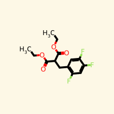 CCOC(=O)C(Cc1cc(F)c(F)cc1F)C(=O)OCC